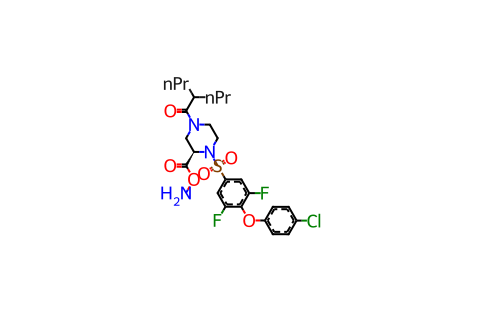 CCCC(CCC)C(=O)N1CCN(S(=O)(=O)c2cc(F)c(Oc3ccc(Cl)cc3)c(F)c2)[C@@H](C(=O)ON)C1